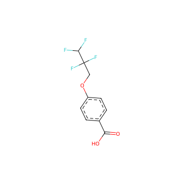 O=C(O)c1ccc(OCC(F)(F)C(F)F)cc1